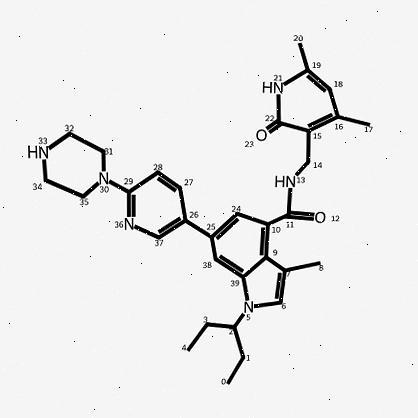 CCC(CC)n1cc(C)c2c(C(=O)NCc3c(C)cc(C)[nH]c3=O)cc(-c3ccc(N4CCNCC4)nc3)cc21